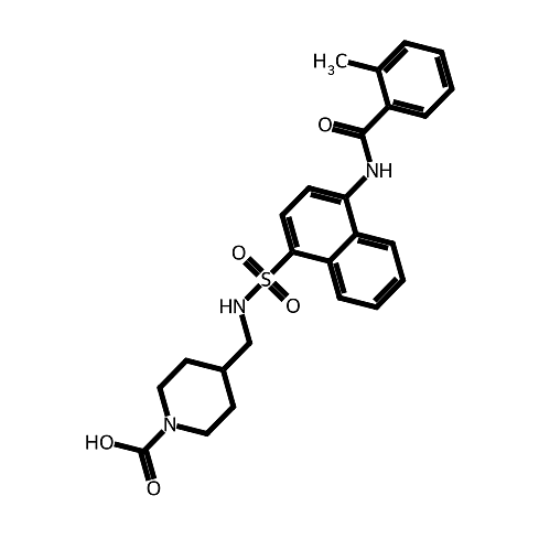 Cc1ccccc1C(=O)Nc1ccc(S(=O)(=O)NCC2CCN(C(=O)O)CC2)c2ccccc12